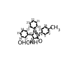 Cc1ccc(-n2c(=O)c(NC=O)c(-c3ccccc3)n2-c2ccccc2)cc1